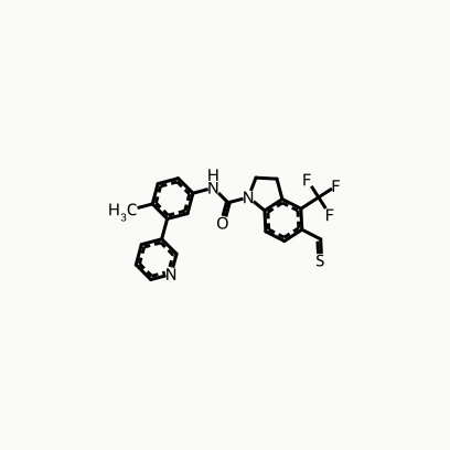 Cc1ccc(NC(=O)N2CCc3c2ccc(C=S)c3C(F)(F)F)cc1-c1cccnc1